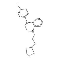 Fc1ccc(N2CCN(CCCN3CCCC3)c3ccccc32)cc1